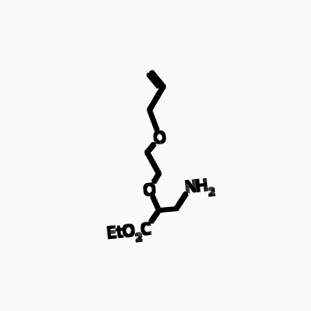 C=CCOCCOC(CN)C(=O)OCC